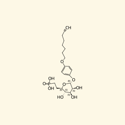 C#CCCCCCCOc1ccc(O[C@H]2O[C@H](CCP(=O)(O)O)[C@@H](O)[C@H](O)[C@@H]2O)cc1